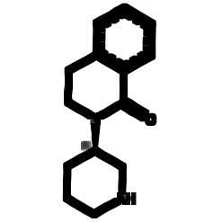 O=C1c2ccccc2CCN1[C@@H]1CCCNC1